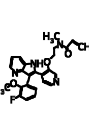 C=CC(=O)N(C)CCOc1cnccc1-c1[nH]c2cccnc2c1-c1cccc(F)c1OC